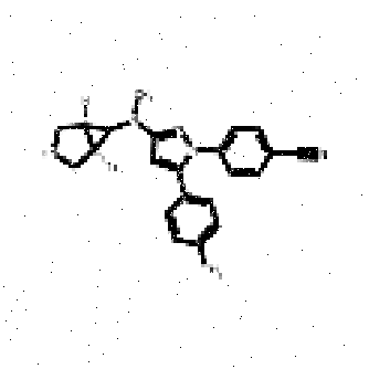 Cc1ccc(-c2cc(N(C)C3[C@H]4CNC[C@@H]34)nn2-c2ccc(C#N)cc2)cc1